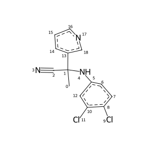 CC(C#N)(Nc1ccc(Cl)c(Cl)c1)c1cccnc1